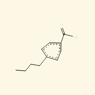 [CH2]CCCc1ccc(C(N)=O)cc1